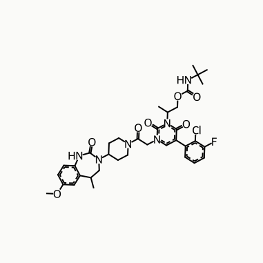 COc1ccc2c(c1)C(C)CN(C1CCN(C(=O)Cn3cc(-c4cccc(F)c4Cl)c(=O)n(C(C)COC(=O)NC(C)(C)C)c3=O)CC1)C(=O)N2